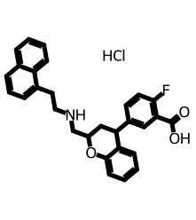 Cl.O=C(O)c1cc(C2CC(CNCCc3cccc4ccccc34)Oc3ccccc32)ccc1F